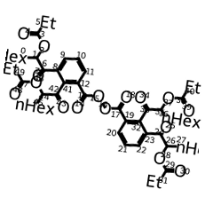 CCCCCCC(OC(=O)CC)C(=O)c1cccc(C(=O)OOC(=O)c2cccc(C(=O)C(CCCCCC)OC(=O)CC)c2C(=O)C(CCCCCC)OC(=O)CC)c1C(=O)C(CCCCCC)OC(=O)CC